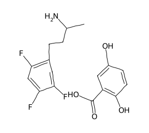 CC(N)CCc1cc(F)c(F)cc1F.O=C(O)c1cc(O)ccc1O